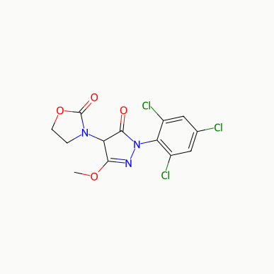 COC1=NN(c2c(Cl)cc(Cl)cc2Cl)C(=O)C1N1CCOC1=O